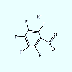 O=S([O-])c1c(F)c(F)c(F)c(F)c1F.[K+]